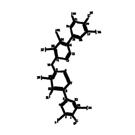 Fc1c(I)cc(-c2ccc(Cc3ccc(-c4cc(I)c(F)c(I)c4)c(I)c3I)c(I)c2I)cc1I